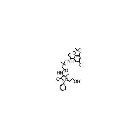 Cc1c(NC(=O)CC(C)(C)CNC(=O)c2cc(Cl)cc3c2OC(C)(C)C3)c(=O)n(-c2ccccc2)n1CCO